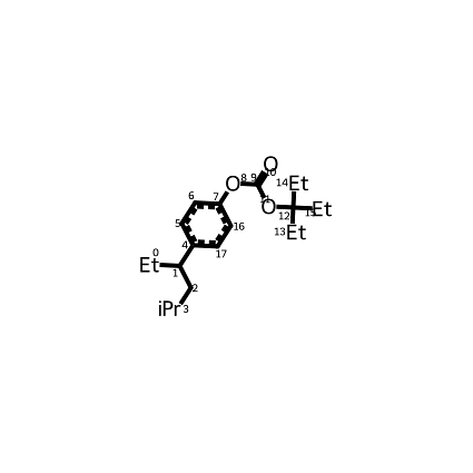 CCC(CC(C)C)c1ccc(OC(=O)OC(CC)(CC)CC)cc1